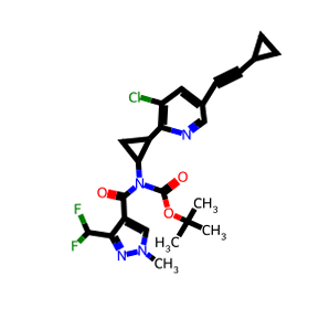 Cn1cc(C(=O)N(C(=O)OC(C)(C)C)C2CC2c2ncc(C#CC3CC3)cc2Cl)c(C(F)F)n1